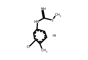 CSC(=N)Nc1ccc(C)c(Cl)c1.I